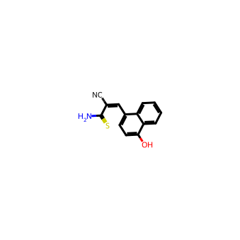 N#C/C(=C/c1ccc(O)c2ccccc12)C(N)=S